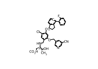 C[C@@H](O)[C@@H](CC(=O)O)NCc1cc(Cl)c(O[C@H]2CCc3c(-c4ccccc4F)cccc32)cc1OCc1cncc(C#N)c1